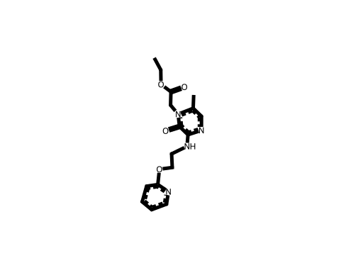 CCOC(=O)Cn1c(C)cnc(NCCOc2ccccn2)c1=O